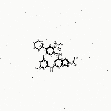 Cc1cc(Nc2cc(Nc3ccc([C@H]4CCCCO4)cc3S(C)(=O)=O)c3nc(C(F)F)[nH]c3n2)nc(C)n1